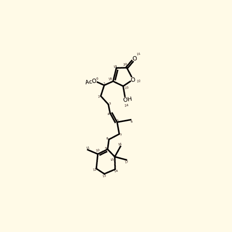 CC(=O)OC(CCC=C(C)CCC1=C(C)CCCC1(C)C)C1=CC(=O)OC1O